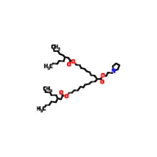 CCCCCC(CCCCC)CC(=O)OCCCCCCCCCCC(CCCCCCCCOC(=O)CC(CCCCC)CCCCC)C(=O)OCCCN1CCCC1